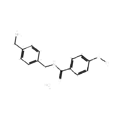 CCOc1ccc(C(=O)NCc2ccc(CN)cc2)cc1.Cl